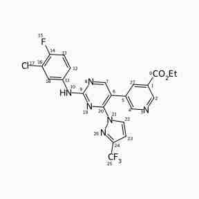 CCOC(=O)c1cncc(-c2cnc(Nc3ccc(F)c(Cl)c3)nc2-n2ccc(C(F)(F)F)n2)c1